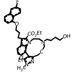 CCOC(=O)c1c(CCCOc2cccc3cc(F)ccc23)c2ccc(Cl)c3c2n1CCN(CCCCO)CCCc1nn(C)c(CC)c1-3